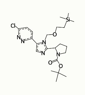 CC(C)(C)OC(=O)N1CCCC1c1ncc(-c2ccc(Cl)nn2)n1COCC[Si](C)(C)C